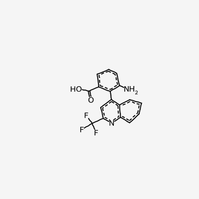 Nc1cccc(C(=O)O)c1-c1cc(C(F)(F)F)nc2ccccc12